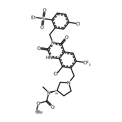 CCS(=O)(=O)c1ccc(Cl)cc1Cn1c(=O)[nH]c2c(Cl)c(CN3CC[C@@H](N(C)C(=O)OC(C)(C)C)C3)c(C(F)(F)F)cc2c1=O